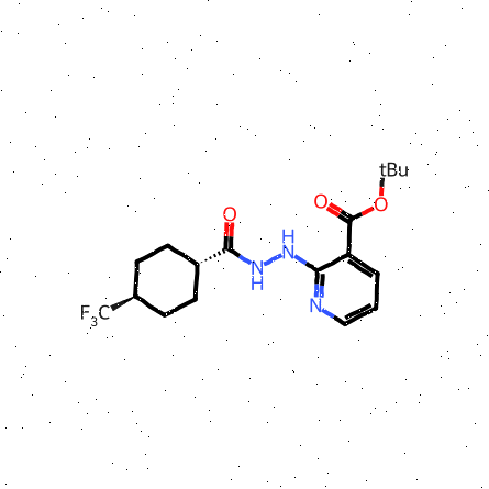 CC(C)(C)OC(=O)c1cccnc1NNC(=O)[C@H]1CC[C@H](C(F)(F)F)CC1